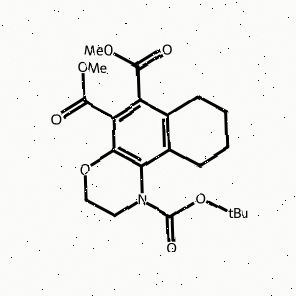 COC(=O)c1c2c(c3c(c1C(=O)OC)OCCN3C(=O)OC(C)(C)C)CCCC2